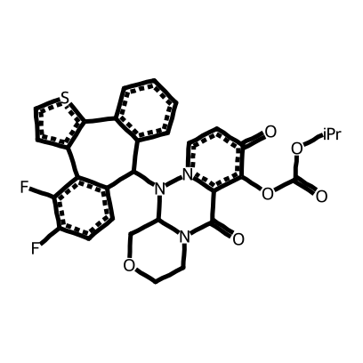 CC(C)OC(=O)Oc1c2n(ccc1=O)N(C1c3ccccc3-c3sccc3-c3c1ccc(F)c3F)C1COCCN1C2=O